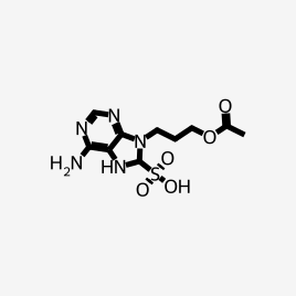 CC(=O)OCCCN1c2ncnc(N)c2NC1S(=O)(=O)O